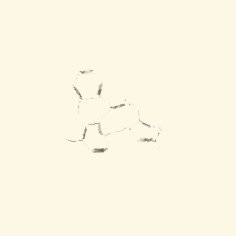 Cc1cn2c(n1)CN=C(c1ccccc1F)c1cc(Cl)ccc1-2